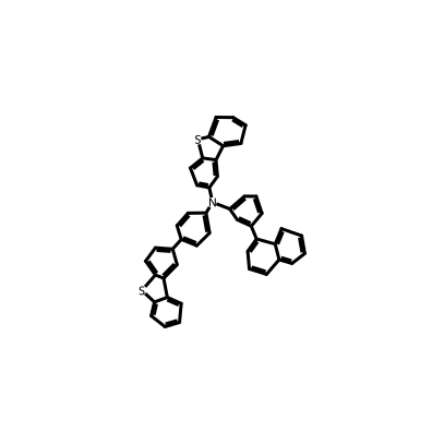 c1cc(-c2cccc3ccccc23)cc(N(c2ccc(-c3ccc4sc5ccccc5c4c3)cc2)c2ccc3sc4ccccc4c3c2)c1